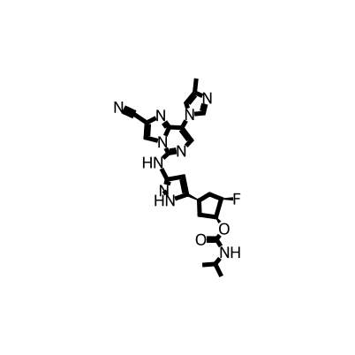 Cc1cn(-c2cnc(Nc3cc([C@H]4C[C@@H](F)[C@@H](OC(=O)NC(C)C)C4)[nH]n3)n3cc(C#N)nc23)cn1